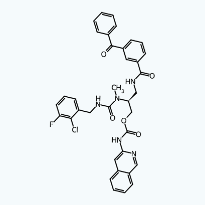 CN(C(=O)NCc1cccc(F)c1Cl)[C@@H](CNC(=O)c1cccc(C(=O)c2ccccc2)c1)COC(=O)Nc1cc2ccccc2cn1